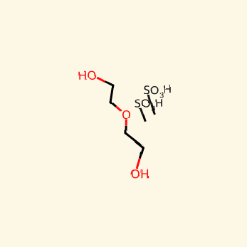 CS(=O)(=O)O.CS(=O)(=O)O.OCCOCCO